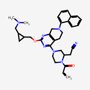 C=CC(=O)N1CCN(c2nc(OCC3CC3CN(C)C)nc3c2CCN(c2cccc4ccccc24)C3)CC1CC#N